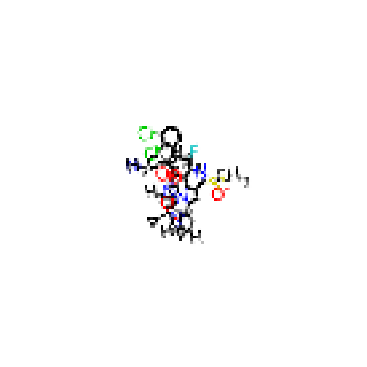 C[S+]([O-])c1nc2c(F)c(-c3cccc(Cl)c3Cl)c(CCC#N)cc2c2c1cc([C@H]1C[C@H]3C[C@H]3N1C(=O)C1CC1)n2[C@H]1[C@@H]2C[C@H]1N(C(=O)OC(C)(C)C)C2